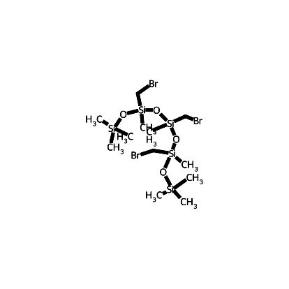 C[Si](C)(C)O[Si](C)(CBr)O[Si](C)(CBr)O[Si](C)(CBr)O[Si](C)(C)C